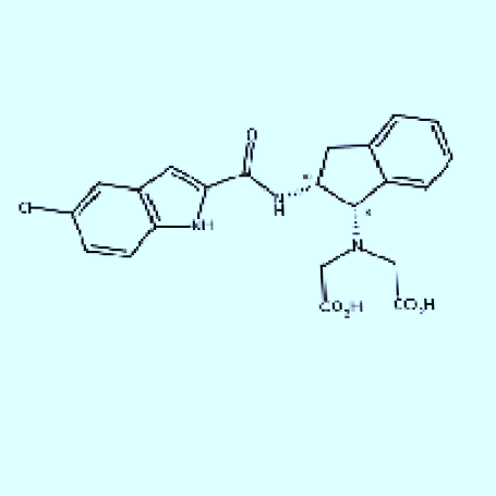 O=C(O)CN(CC(=O)O)[C@H]1c2ccccc2C[C@H]1NC(=O)c1cc2cc(Cl)ccc2[nH]1